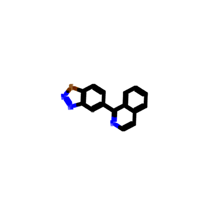 [c]1c(-c2nccc3ccccc23)ccc2snnc12